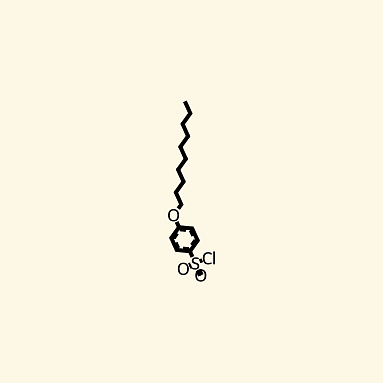 CCCCCCCCCCOc1ccc(S(=O)(=O)Cl)cc1